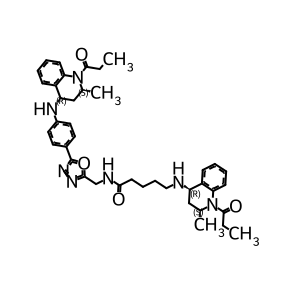 CCC(=O)N1c2ccccc2[C@H](NCCCCC(=O)NCc2nnc(-c3ccc(N[C@@H]4C[C@H](C)N(C(=O)CC)c5ccccc54)cc3)o2)C[C@@H]1C